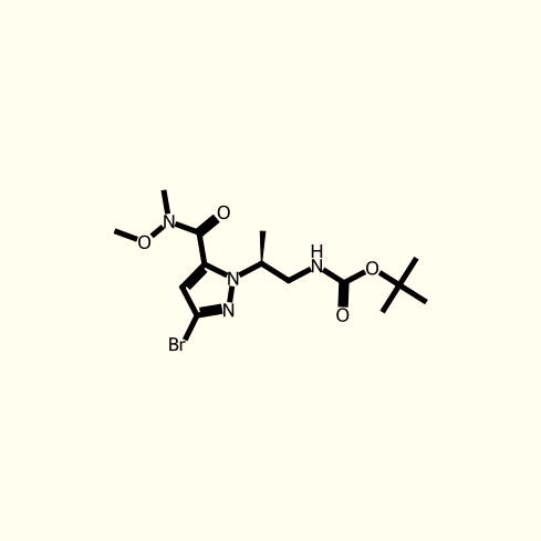 CON(C)C(=O)c1cc(Br)nn1[C@@H](C)CNC(=O)OC(C)(C)C